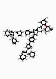 Cc1cc(C)c(-c2cc3nc(-c4ccc(-c5ccc(-c6nc7ccccc7n6-c6ccccc6)cc5)cc4)c(-c4ccc(-c5ccc(-c6nc7ccccc7n6-c6ccccc6)cc5)cc4)nc3cc2-c2c(C)cc(C)cc2C)c(C)c1